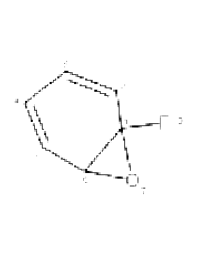 FC12C=CC=CC1O2